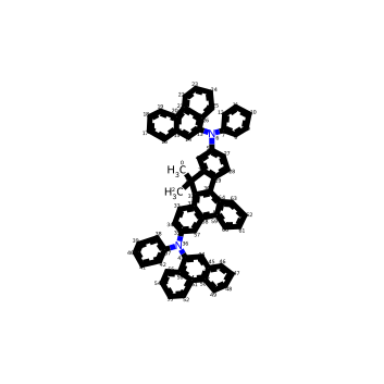 CC1(C)c2cc(N(c3ccccc3)c3cc4ccccc4c4ccccc34)ccc2-c2c1c1ccc(N(c3ccccc3)c3cc4ccccc4c4ccccc34)cc1c1ccccc21